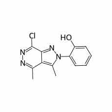 Cc1nnc(Cl)c2nn(-c3ccccc3O)c(C)c12